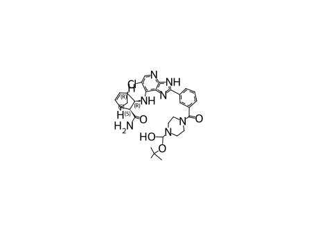 CC(C)(C)OC(O)N1CCN(C(=O)c2cccc(-c3nc4c(N[C@H]5[C@@H](C(N)=O)[C@@H]6C=C[C@H]5C6)c(Cl)cnc4[nH]3)c2)CC1